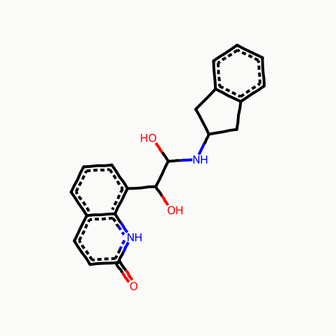 O=c1ccc2cccc(C(O)C(O)NC3Cc4ccccc4C3)c2[nH]1